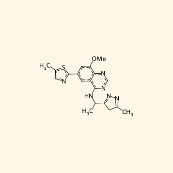 COc1cc(-c2ncc(C)s2)cc2c(NC(C)C3=NN=C(C)C3)ncnc12